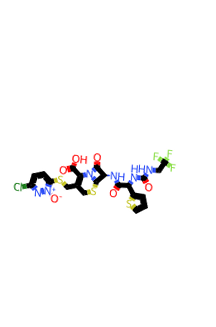 O=C(NCC(F)(F)F)NC(C(=O)N[C@H]1C(=O)N2C(C(=O)O)=C(CSc3ccc(Cl)n[n+]3[O-])CSC12)c1cccs1